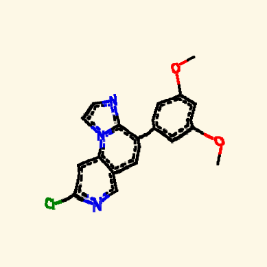 COc1cc(OC)cc(-c2cc3cnc(Cl)cc3n3ccnc23)c1